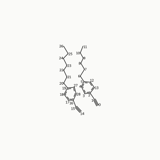 C#Cc1ccc(CCCCCC)cc1.C#Cc1ccc(CCCCCCC)cc1